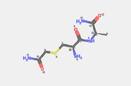 C[C@H](NC(=O)[C@@H](N)CSCC(N)=O)C(N)=O